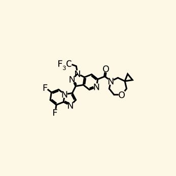 O=C(c1cc2c(cn1)c(-c1cnc3c(F)cc(F)cn13)nn2CC(F)(F)F)N1CCOCC2(CC2)C1